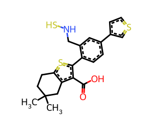 CC1(C)CCc2sc(-c3ccc(-c4ccsc4)cc3CNS)c(C(=O)O)c2C1